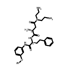 CC(C)Oc1cccc(NC(=O)[C@H](CCc2ccccc2)NC(=O)[C@@H](N)CC(=O)N(CCN)CCN)c1